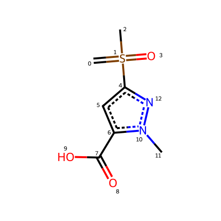 C=S(C)(=O)c1cc(C(=O)O)n(C)n1